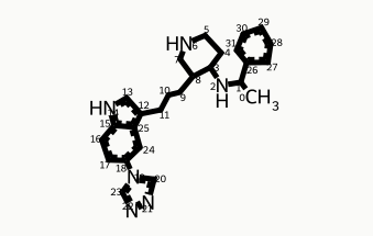 CC(NC1CCNCC1CCCc1c[nH]c2ccc(-n3cnnc3)cc12)c1ccccc1